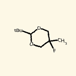 CC1(F)COC(C(C)(C)C)OC1